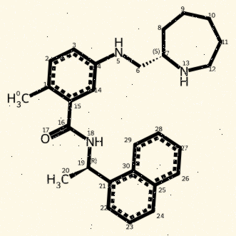 Cc1ccc(NC[C@@H]2CCCCCN2)cc1C(=O)N[C@H](C)c1cccc2ccccc12